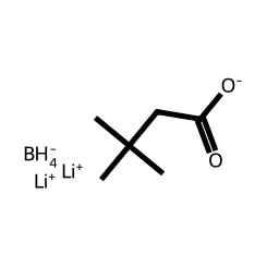 CC(C)(C)CC(=O)[O-].[BH4-].[Li+].[Li+]